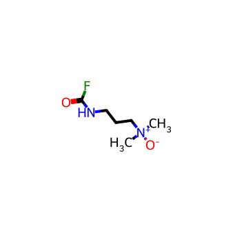 C[N+](C)([O-])CCCNC(=O)F